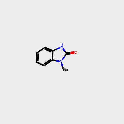 CCC(C)n1c(=O)[nH]c2ccccc21